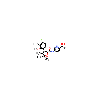 CCOc1c([C@H]2[C@H](C(=O)Nc3ccc([C@@H](O)CC)nc3)OC(C)(C)[C@H]2C)ccc(F)c1C